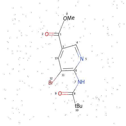 COC(=O)c1cnc(NC(=O)C(C)(C)C)c(Br)c1